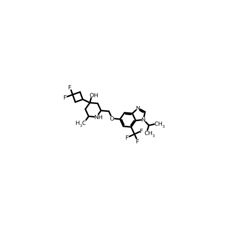 CC1CC(O)(C2CC(F)(F)C2)CC(COc2cc(C(F)(F)F)c3c(c2)ncn3C(C)C)N1